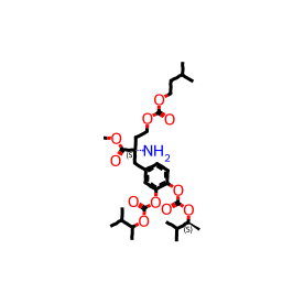 COC(=O)[C@@](N)(CCOC(=O)OCCC(C)C)Cc1ccc(OC(=O)O[C@@H](C)C(C)C)c(OC(=O)OC(C)C(C)C)c1